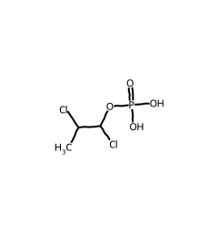 CC(Cl)C(Cl)OP(=O)(O)O